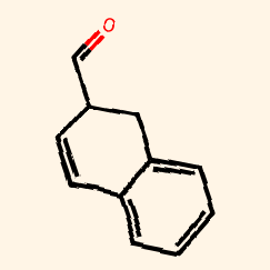 O=CC1C=Cc2ccccc2C1